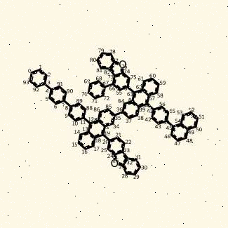 c1ccc(-c2ccc(-c3ccc(-c4c5ccccc5c(-c5ccc6c(c5)oc5ccccc56)c5cc(-c6ccc7c(-c8ccc(-c9cccc%10ccccc9%10)cc8)c8ccccc8c(-c8cc(-c9ccccc9)c9c(c8)oc8ccccc89)c7c6)ccc45)cc3)cc2)cc1